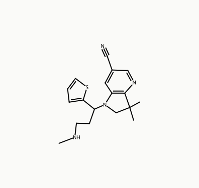 CNCCC(c1cccs1)N1CC(C)(C)c2ncc(C#N)cc21